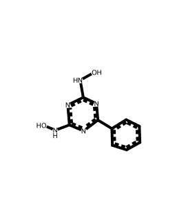 ONc1nc(NO)nc(-c2ccccc2)n1